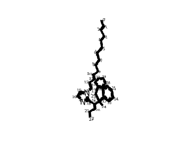 CCCCCCCCCCCCCCn1ccnc1C(CCC)C(C)(Cc1ccccc1)c1ccccc1